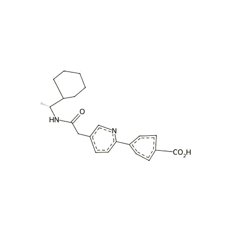 C[C@@H](NC(=O)Cc1ccc(-c2ccc(C(=O)O)cc2)nc1)C1CCCCC1